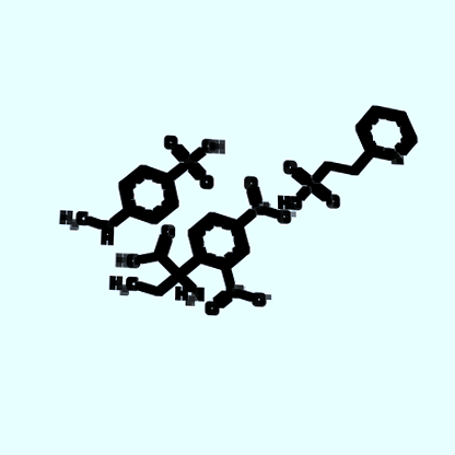 CCC(N)(C(=O)O)c1ccc([N+](=O)[O-])cc1[N+](=O)[O-].CNc1ccc(S(=O)(=O)O)cc1.O=S(=O)(O)CCc1ccccn1